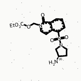 CCOC(=O)OCn1ccc2c(S(=O)(=O)N3CC[C@@H](N)C3)cccc2c1=O